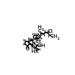 C=C/C(Cl)=C\C=C(/C)N1C[C@]2(CC)C1CN2c1nc2c(c(NC3(CO)CC3)n1)C(=O)CC2